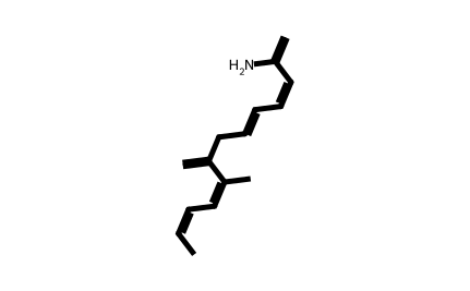 C=C(N)/C=C\C=C\CC(=C)/C(C)=C\C=C/C